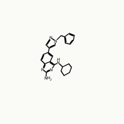 Nc1nc(NC2CCCCC2)c2cc(-c3cnn(Cc4ccccc4)c3)ccc2n1